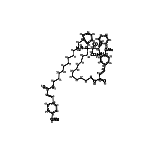 COc1ccc(C=CC(=O)OCCCCCCCCCCCc2ccccc2C(N)(CCCCCCCCCCCOC(=O)C=Cc2ccc(OC)cc2)C(C(=O)O)(C(=O)O)C(N)c2ccccc2)cc1